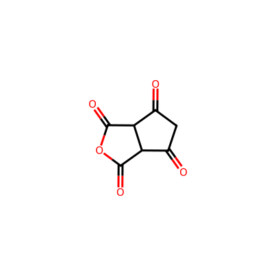 O=C1CC(=O)C2C(=O)OC(=O)C12